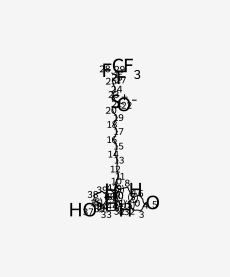 C[C@]12CCC(=O)C[C@@H]1C[C@H](CCCCCCCCCCC[S+]([O-])CCCC(F)(F)C(F)(F)F)[C@@H]1[C@@H]2CC[C@]2(C)[C@@H](O)CC[C@@H]12